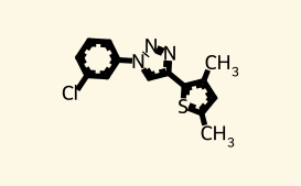 Cc1cc(C)c(-c2cn(-c3cccc(Cl)c3)nn2)s1